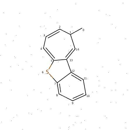 CC1C=CC=c2sc3ccccc3c2=C1